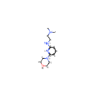 CN(C)CCNc1c[c]cc(N2CCOCC2)n1